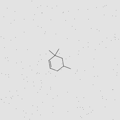 C[C]1CC=CC(C)(C)C1